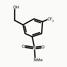 CNS(=O)(=O)c1cc(CO)cc(C(F)(F)F)c1